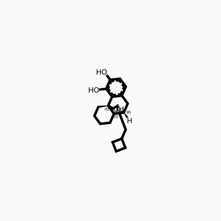 Oc1ccc2c(c1O)[C@@]13CCCC[C@@]1(O)[C@@H](C2)N(CC1CCC1)CC3